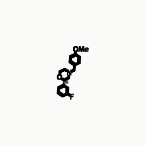 COc1ccc(CN2CCO[C@@H](c3cccc(F)c3)C2)cc1